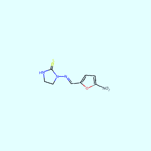 O=[N+]([O-])c1ccc(C=NN2CCNC2=S)o1